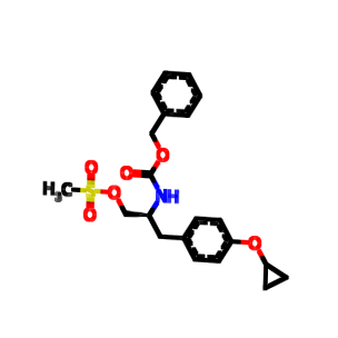 CS(=O)(=O)OC[C@H](Cc1ccc(OC2CC2)cc1)NC(=O)OCc1ccccc1